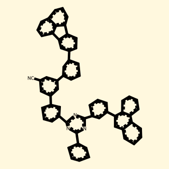 N#Cc1cc(-c2cccc(-c3ccc4c(c3)-c3cccc5cccc-4c35)c2)cc(-c2cccc(-c3nc(-c4ccccc4)nc(-c4cccc(-c5cc6ccccc6c6ccccc56)c4)n3)c2)c1